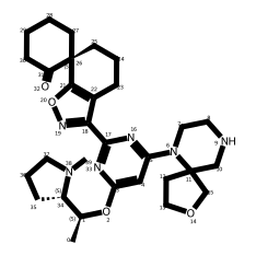 C[C@H](Oc1cc(N2CCNCC23CCOC3)nc(-c2noc3c2CCC[C@@]32CCCCC2=O)n1)[C@@H]1CCCN1C